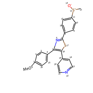 COc1ccc(-c2nc(-c3ccc([S+](C)[O-])cc3)sc2-c2ccncc2)cc1